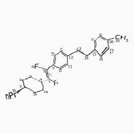 CCC[C@H]1CC[C@H](/C(F)=C(\F)c2ccc(CCc3ccc(C)cc3)cc2)CC1